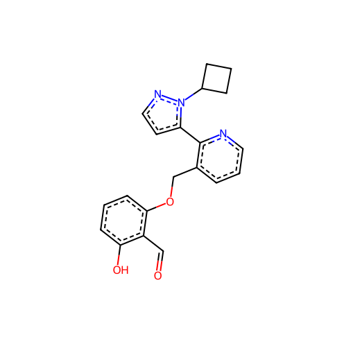 O=Cc1c(O)cccc1OCc1cccnc1-c1ccnn1C1CCC1